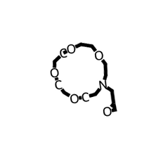 C1COCCOCCN(CC2CO2)CCOCCO1